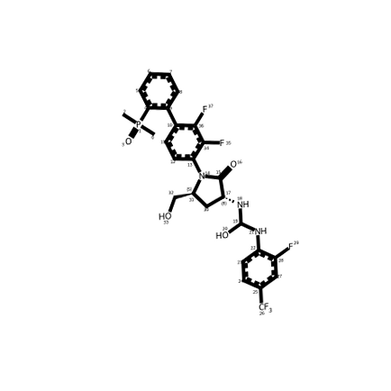 CP(C)(=O)c1ccccc1-c1ccc(N2C(=O)[C@H](NC(O)Nc3ccc(C(F)(F)F)cc3F)C[C@H]2CO)c(F)c1F